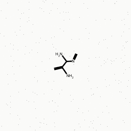 C=N[C](N)C(=C)N